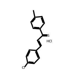 Cc1ccc(C(=S)C=Cc2ccc(Cl)cc2)cc1.Cl